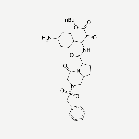 CCCCOC(=O)C(=O)C(NC(=O)C1CCC2CN(S(=O)(=O)Cc3ccccc3)CC(=O)N21)C1CCC(N)CC1